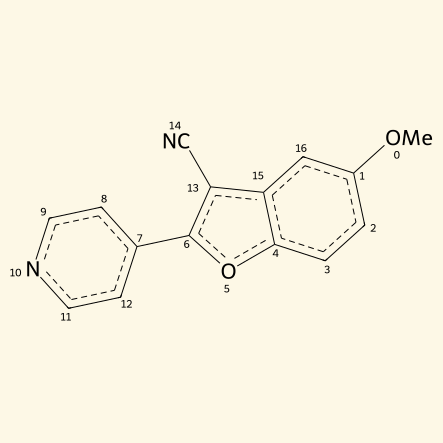 COc1ccc2oc(-c3ccncc3)c(C#N)c2c1